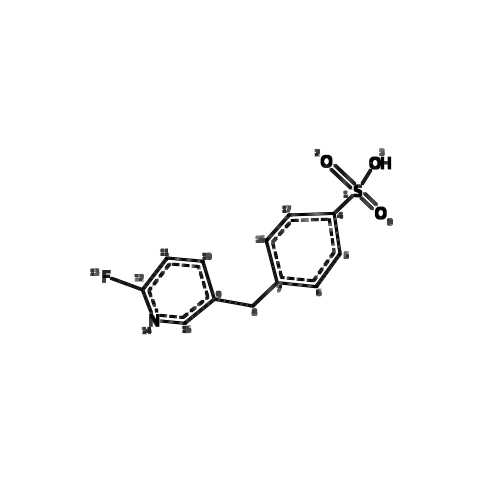 O=S(=O)(O)c1ccc(Cc2ccc(F)nc2)cc1